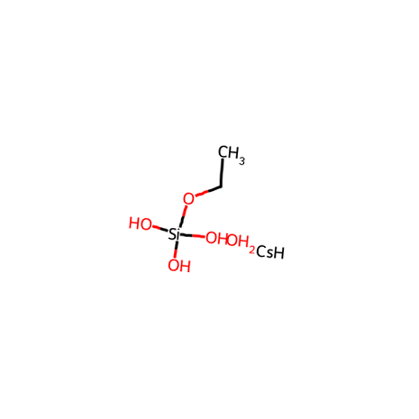 CCO[Si](O)(O)O.O.[CsH]